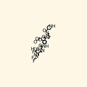 Cn1c(-c2cn(CC(F)F)nc2C(F)(F)F)cnc1C(=O)Nc1ccc(C(=O)N2CCC23CN(C(=O)C2CCNCC2)C3)c(Cl)c1.O=CO